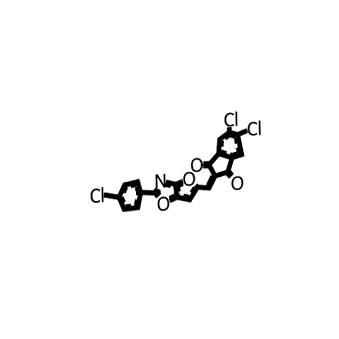 O=C1C(=Cc2cc3oc(-c4ccc(Cl)cc4)nc3o2)C(=O)c2cc(Cl)c(Cl)cc21